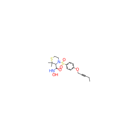 CCC#CCOc1ccc(S(=O)(=O)N2CCSC(C)(C)C2C(=O)NO)cc1